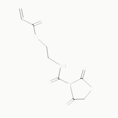 C=CC(=O)OCCNC(=S)N1C(=O)CSC1=S